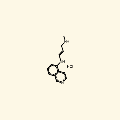 CNCC=CNc1cccc2cnccc12.Cl